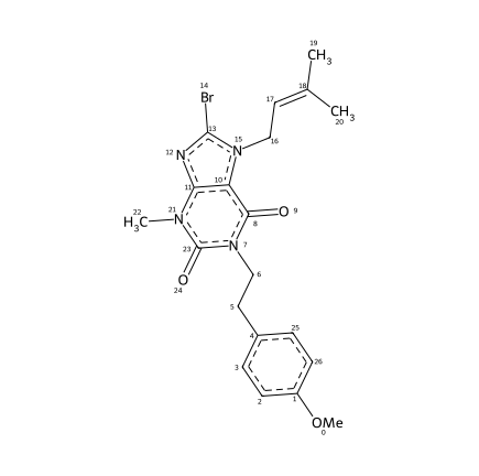 COc1ccc(CCn2c(=O)c3c(nc(Br)n3CC=C(C)C)n(C)c2=O)cc1